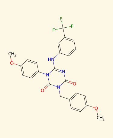 COc1ccc(Cn2c(=O)nc(Nc3cccc(C(F)(F)F)c3)n(-c3ccc(OC)cc3)c2=O)cc1